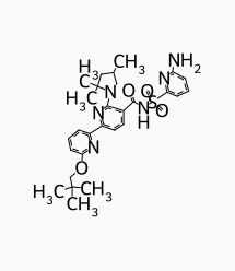 CC1CN(c2nc(-c3cccc(OCC(C)(C)C)n3)ccc2C(=O)NS(=O)(=O)c2cccc(N)n2)C(C)(C)C1